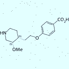 CO[C@@H]1CNCC[C@@H]1CCOc1ccc(C(=O)O)cc1